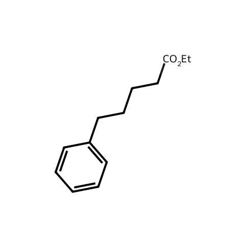 CCOC(=O)CCCCc1ccccc1